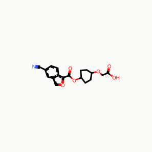 N#Cc1ccc2c(C(=O)OC3CCC(OCC(=O)O)CC3)occ2c1